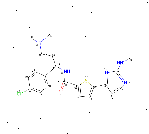 CNc1nccc(-c2ccc(C(=O)NC(CCN(C)C)c3ccc(Cl)cc3)s2)n1